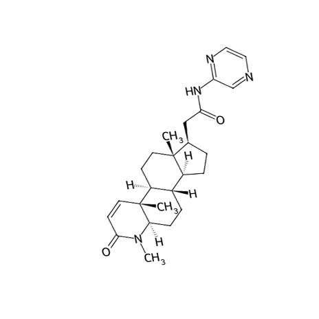 CN1C(=O)C=C[C@]2(C)[C@H]3CC[C@]4(C)[C@@H](CC(=O)Nc5cnccn5)CC[C@H]4[C@@H]3CC[C@@H]12